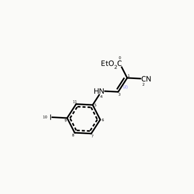 CCOC(=O)/C(C#N)=C\Nc1cccc(I)c1